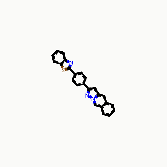 c1ccc2cn3nc(-c4ccc(-c5nc6ccccc6s5)cc4)cc3cc2c1